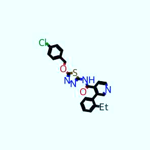 CCc1ccccc1-c1cnccc1C(=O)Nc1nnc(OCc2ccc(Cl)cc2)s1